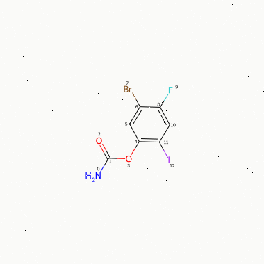 NC(=O)Oc1cc(Br)c(F)cc1I